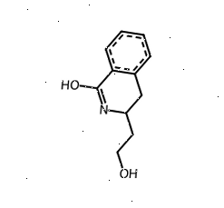 OCCC1Cc2ccccc2C(O)=N1